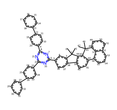 CC1(C)c2cc(-c3nc(-c4ccc(-c5ccccc5)cc4)nc(-c4ccc(-c5ccccc5)cc4)n3)ccc2-c2ccc3c(c21)C(C)(C)c1cccc2cccc-3c12